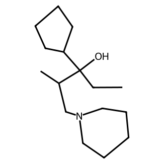 CCC(O)(C(C)CN1CCCCC1)C1CCCC1